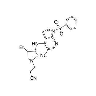 CCC1CN(CCC#N)CC1Nc1c(C#N)cnc2c1ccn2S(=O)(=O)c1ccccc1